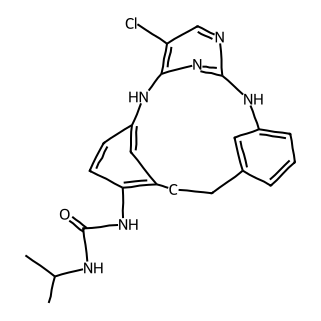 CC(C)NC(=O)Nc1ccc2cc1CCc1cccc(c1)Nc1ncc(Cl)c(n1)N2